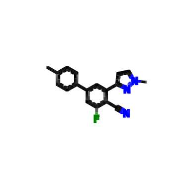 Cc1ccc(-c2cc(F)c(C#N)c(-c3ccn(C)n3)c2)cc1